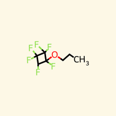 CCCOC1(F)C(F)C(F)(F)C1(F)F